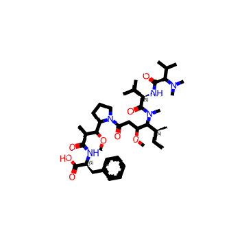 CC[C@H](C)C(C(CC(=O)N1CCCC1C(OC)C(C)C(=O)N[C@@H](Cc1ccccc1)C(=O)O)OC)N(C)C(=O)[C@@H](NC(=O)C(C(C)C)N(C)C)C(C)C